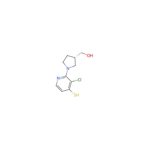 OC[C@H]1CCN(c2nccc(S)c2Cl)C1